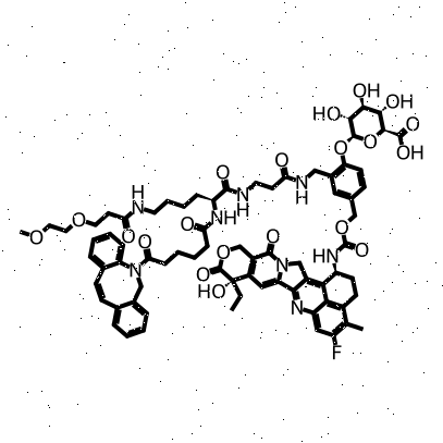 CC[C@@]1(O)C(=O)OCc2c1cc1n(c2=O)Cc2c-1nc1cc(F)c(C)c3c1c2[C@@H](NC(=O)OCc1ccc(O[C@@H]2O[C@H](C(=O)O)[C@@H](O)[C@H](O)[C@H]2O)c(CNC(=O)CCNC(=O)[C@H](CCCCNC(=O)CCOCCOC)NC(=O)CCCCC(=O)N2Cc4ccccc4/C=C\c4ccccc42)c1)CC3